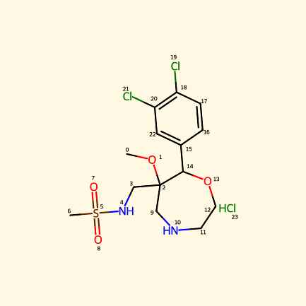 COC1(CNS(C)(=O)=O)CNCCOC1c1ccc(Cl)c(Cl)c1.Cl